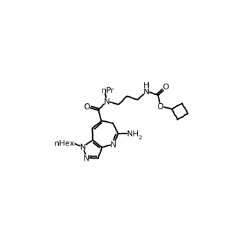 CCCCCCn1ncc2c1C=C(C(=O)N(CCC)CCCNC(=O)OC1CCC1)CC(N)=N2